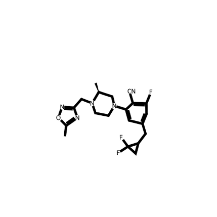 Cc1nc(CN2CCN(c3cc(CC4CC4(F)F)cc(F)c3C#N)C[C@@H]2C)no1